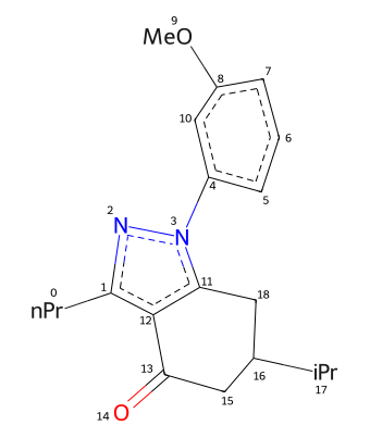 CCCc1nn(-c2cccc(OC)c2)c2c1C(=O)CC(C(C)C)C2